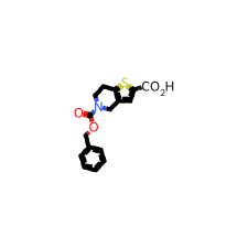 O=C(O)c1cc2c(s1)CCN(C(=O)OCc1ccccc1)C2